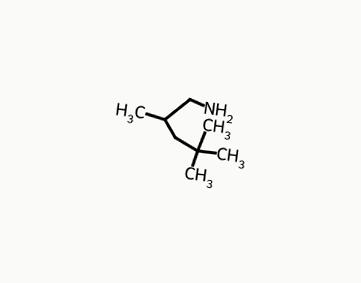 CC(CN)CC(C)(C)C